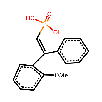 COc1ccccc1/C(=C/P(=O)(O)O)c1ccccc1